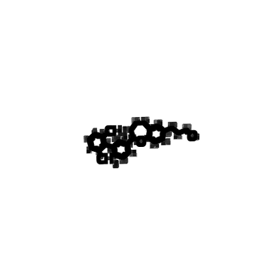 Cc1cccc(C)c1-c1cccc(C2CCCc3cc(CCC=O)ccc3O2)c1